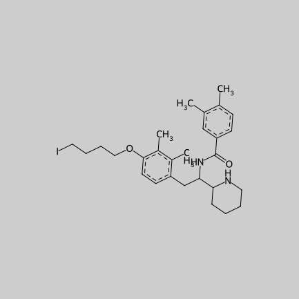 Cc1ccc(C(=O)NC(Cc2ccc(OCCCCI)c(C)c2C)C2CCCCN2)cc1C